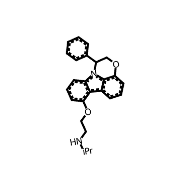 CC(C)NCCOc1cccc2c1c1cccc3c1n2C(c1ccccc1)CO3